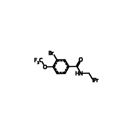 CC(C)CNC(=O)c1ccc(OC(F)(F)F)c(Br)c1